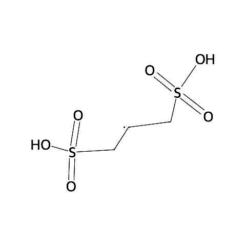 O=S(=O)(O)C[CH]CS(=O)(=O)O